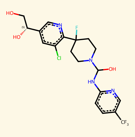 OC[C@@H](O)c1cnc(C2(F)CCN(C(O)Nc3ccc(C(F)(F)F)cn3)CC2)c(Cl)c1